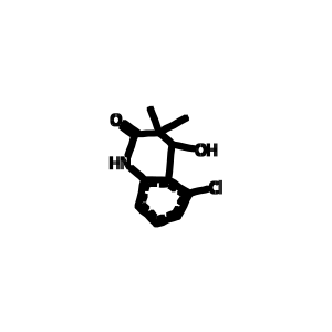 CC1(C)C(=O)Nc2cccc(Cl)c2C1O